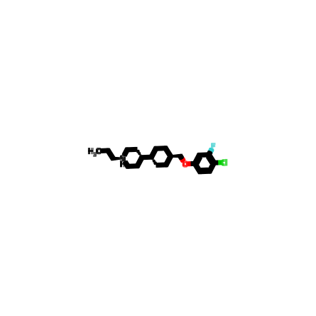 CCC[Si@H]1CC[C@H]([C@H]2CC[C@H](COc3ccc(Cl)c(F)c3)CC2)CC1